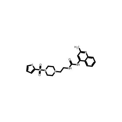 Cc1cc(NC(=O)NCCN2CCN(S(=O)(=O)c3cccs3)CC2)c2ccccc2n1